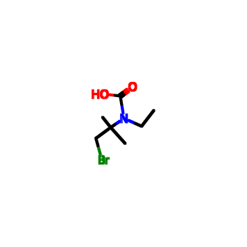 CCN(C(=O)O)C(C)(C)CBr